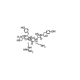 N=C(N)NCCC[C@H](NC(=O)[C@H](Cc1ccc(O)cc1)NC(=O)[C@@H](N)CS)C(=O)N[C@@H](CCCCN)C(=O)N[C@@H](CS)C(=O)N[C@H]([C]=O)Cc1ccc(O)cc1